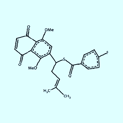 COc1cc(C(CC=C(C)C)SC(=O)c2ccc(F)cc2)c(OC)c2c1C(=O)C=CC2=O